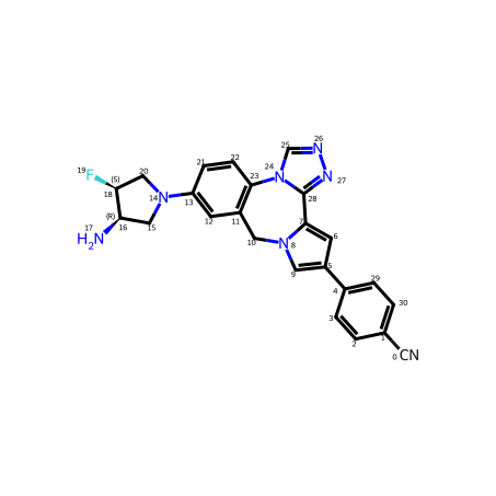 N#Cc1ccc(-c2cc3n(c2)Cc2cc(N4C[C@@H](N)[C@@H](F)C4)ccc2-n2cnnc2-3)cc1